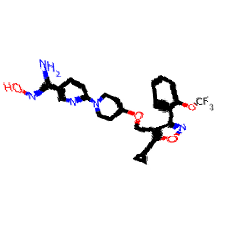 N/C(=N\O)c1ccc(N2CCC(OCc3c(-c4ccccc4OC(F)(F)F)noc3C3CC3)CC2)nc1